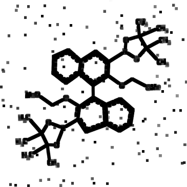 COCOc1c(B2OC(C)(C)C(C)(C)O2)cc2ccccc2c1-c1c(OCOC)c(B2OC(C)(C)C(C)(C)O2)cc2ccccc12